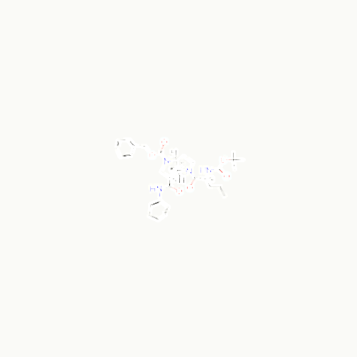 C=CC[C@H](NC(=O)OC(C)(C)C)C(=O)N1CC[C@@H]2[C@H]1[C@@H](C(=O)Nc1ccccc1)CN2C(=O)OCc1ccccc1